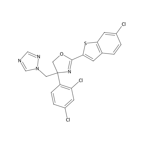 Clc1ccc(C2(Cn3cncn3)COC(c3cc4ccc(Cl)cc4s3)=N2)c(Cl)c1